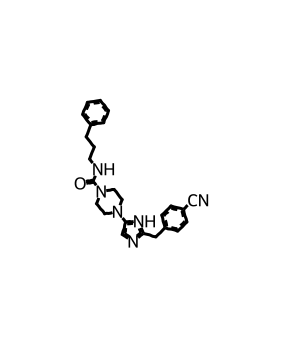 N#Cc1ccc(Cc2ncc(N3CCN(C(=O)NCCCc4ccccc4)CC3)[nH]2)cc1